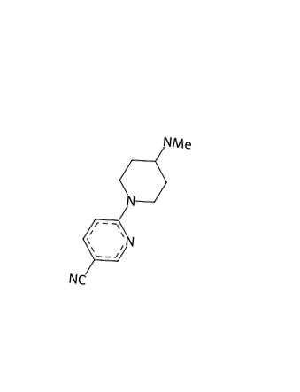 CNC1CCN(c2ccc(C#N)cn2)CC1